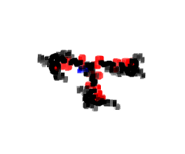 CNC(COC(=O)CCC(=O)O[C@@H]1O[C@@H]2O[C@@]3(C)CC[C@H]4[C@H](C)CC[C@@H]([C@H]1C)[C@@]24OO3)(COC(=O)CCC(=O)O[C@@H]1O[C@@H]2O[C@@]3(C)CC[C@H]4[C@H](C)CC[C@@H]([C@H]1C)[C@@]24OO3)COC(=O)CCC(=O)O[C@@H]1O[C@@H]2O[C@@]3(C)CC[C@H]4[C@H](C)CC[C@@](C)([C@H]1C)[C@@]24OO3